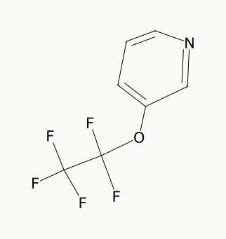 FC(F)(F)C(F)(F)Oc1cccnc1